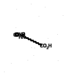 O=C(O)CCCCCCCCCCCCCNC(=O)CNC1CCOCC1